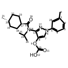 Cc1cccc(-n2cc(OC(=O)O)c(N(C(=O)[C@H]3CC[C@H](C)CC3)C(C)C)n2)c1